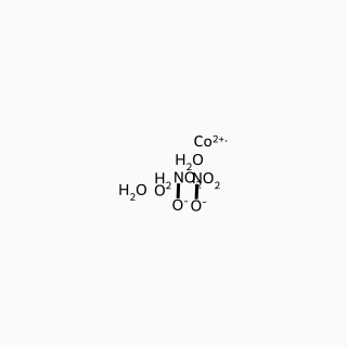 O.O.O.O=[N+]([O-])[O-].O=[N+]([O-])[O-].[Co+2]